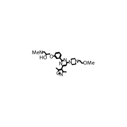 CNCC(O)COc1cccc(-c2nc(-c3c(C)noc3C)cc(N3CCN(CCOC)CC3)n2)c1